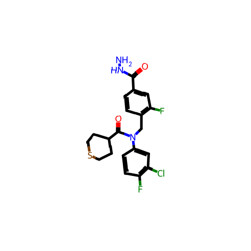 NNC(=O)c1ccc(CN(C(=O)C2CCSCC2)c2ccc(F)c(Cl)c2)c(F)c1